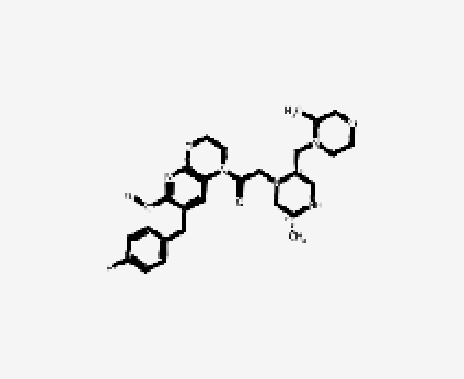 CCOc1nc2c(cc1Cc1ccc(F)cc1)N(C(=O)CN1C[C@@H](C)NC[C@@H]1CN1CCOCC1C)CCO2